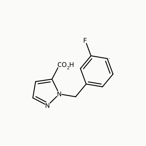 O=C(O)c1ccnn1Cc1cc[c]c(F)c1